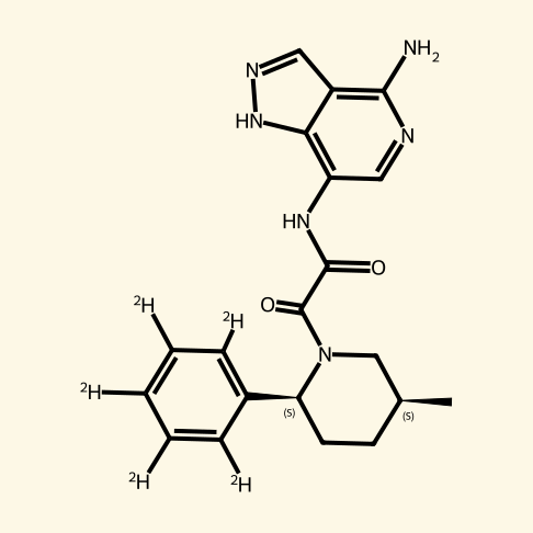 [2H]c1c([2H])c([2H])c([C@@H]2CC[C@H](C)CN2C(=O)C(=O)Nc2cnc(N)c3cn[nH]c23)c([2H])c1[2H]